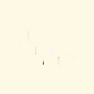 CC(C)CO[C@@H](C)[C@H](OC(=O)[C@H](C)NC(=O)OC(C)(C)C)C(C)C